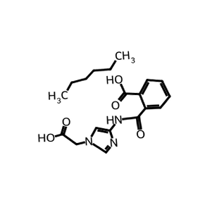 CCCCCC.O=C(O)Cn1cnc(NC(=O)c2ccccc2C(=O)O)c1